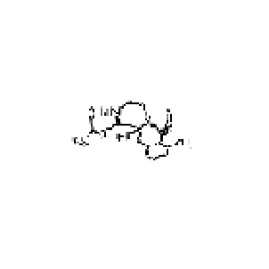 Cc1cccc2c1C(=O)N1CCNC(OC(=O)C(F)(F)F)[C@H]1C2